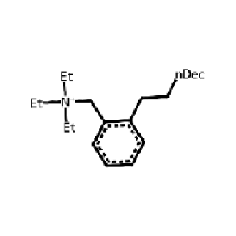 CCCCCCCCCCCCc1ccccc1C[N+](CC)(CC)CC